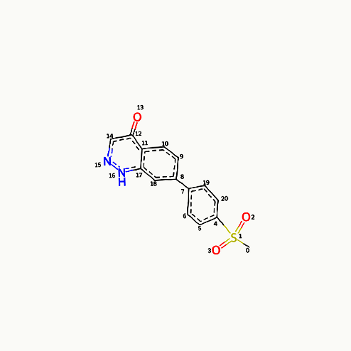 CS(=O)(=O)c1ccc(-c2ccc3c(=O)cn[nH]c3c2)cc1